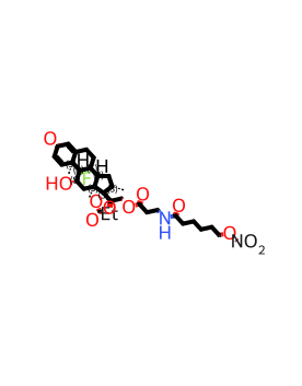 CCC(=O)O[C@@]1(C(=O)COC(=O)CCNC(=O)CCCCCO[N+](=O)[O-])[C@@H](C)C[C@H]2[C@@H]3CCC4=CC(=O)C=C[C@]4(C)[C@@]3(F)[C@@H](O)C[C@@]21C